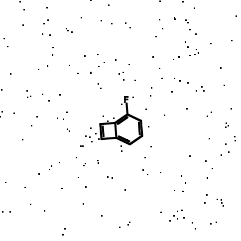 Fc1cccc2c1C=[C]2